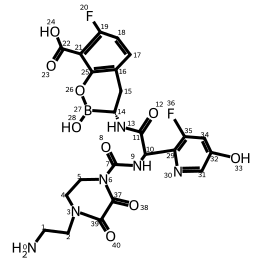 NCCN1CCN(C(=O)NC(C(=O)N[C@H]2Cc3ccc(F)c(C(=O)O)c3OB2O)c2ncc(O)cc2F)C(=O)C1=O